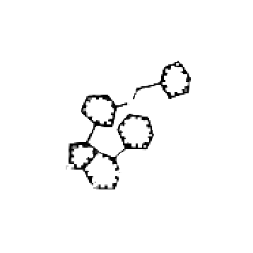 c1ccc(COc2cccc(-c3c[nH]c4ncnc(-c5ccccc5)c34)c2)cc1